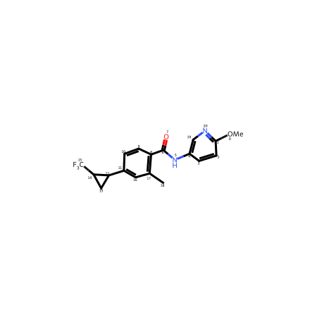 COc1ccc(NC(=O)c2ccc(C3CC3C(F)(F)F)cc2C)cn1